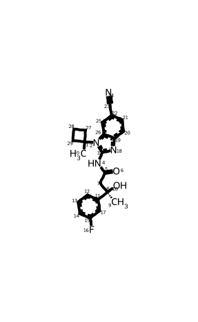 CC1(n2c(NC(=O)C[C@@](C)(O)c3cccc(F)c3)nc3ccc(C#N)cc32)CCC1